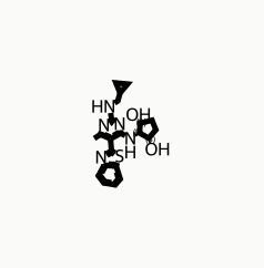 Cc1nc(NCC2CC2)nc(N[C@H]2[C@H](O)CC[C@@H]2O)c1-c1nc2ccccc2s1